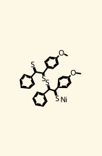 COc1ccc(C(=S)C(=S)c2ccccc2)cc1.COc1ccc(C(=S)C(=S)c2ccccc2)cc1.[Ni]